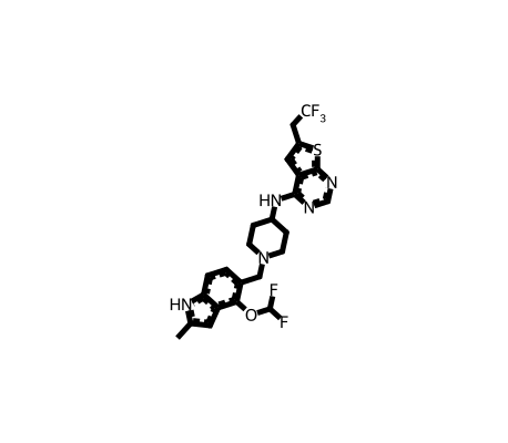 Cc1cc2c(OC(F)F)c(CN3CCC(Nc4ncnc5sc(CC(F)(F)F)cc45)CC3)ccc2[nH]1